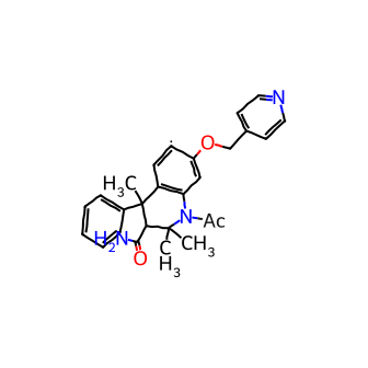 CC(=O)N1c2cc(OCc3ccncc3)[c]cc2C(C)(c2ccccc2)C(C(N)=O)C1(C)C